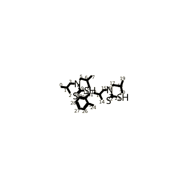 CC(C)CN(CC(C)C)C(=S)S.CC(C)CN(CC(C)C)C(=S)S.Cc1ccccc1C